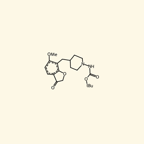 COc1ccc2c(c1CC1CCN(NC(=O)OC(C)(C)C)CC1)OCC2=O